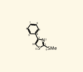 CSc1nc(-c2ccccc2)cs1